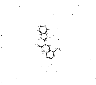 Cc1ccccc1OC(C(N)=O)c1nc2ccccc2o1